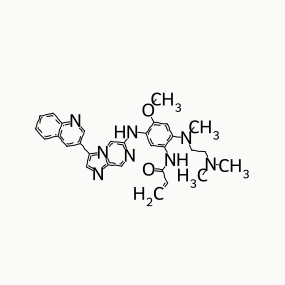 C=CC(=O)Nc1cc(Nc2cn3c(-c4cnc5ccccc5c4)cnc3cn2)c(OC)cc1N(C)CCN(C)C